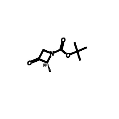 C[C@@H]1C(=O)CN1C(=O)OC(C)(C)C